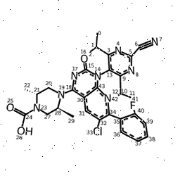 CC(C)c1nc(C#N)nc(C(C)C)c1-n1c(=O)nc(N2C[C@@H](C)N(C(=O)O)C[C@@H]2C)c2cc(Cl)c(-c3ccccc3F)nc21